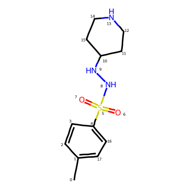 Cc1ccc(S(=O)(=O)NNC2CCNCC2)cc1